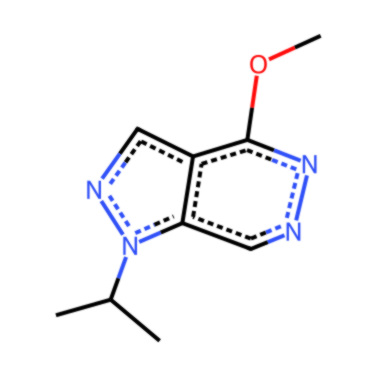 COc1nncc2c1cnn2C(C)C